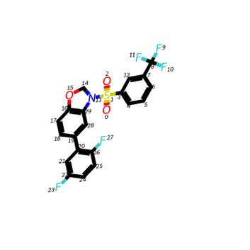 O=S(=O)(c1cccc(C(F)(F)F)c1)N1COc2ccc(-c3cc(F)ccc3F)cc21